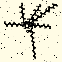 CCCCCCCCCCCC(=O)[O][Sn]1([CH2]CCCCCCC)[CH2]CC(CCCCCCCC)(CCCCCCCC)[O][Sn]1([CH2]CCCCCCC)[O]C(=O)CCCCCCCCCCC